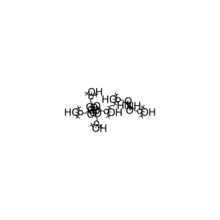 CC(C)(C)c1cc(CCC(=O)NNC(=O)CCc2cc(C(C)(C)C)c(O)c(C(C)(C)CCC(C)(C)c3cc(CCC(=O)OC(OC(=O)CCc4cc(C(C)(C)C)c(O)c(C(C)(C)C)c4)(OC(=O)CCc4cc(C(C)(C)C)c(O)c(C(C)(C)C)c4)OC(=O)CCc4cc(C(C)(C)C)c(O)c(C(C)(C)C)c4)cc(C(C)(C)C)c3O)c2)cc(C(C)(C)C)c1O